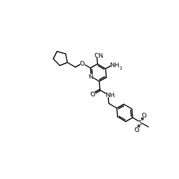 CS(=O)(=O)c1ccc(CNC(=O)c2cc(N)c(C#N)c(OCC3CCCC3)n2)cc1